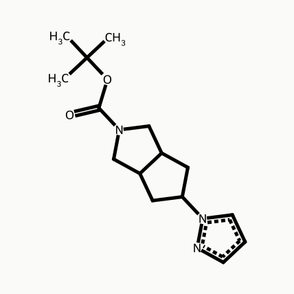 CC(C)(C)OC(=O)N1CC2CC(n3cccn3)CC2C1